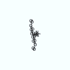 [C-]#[N+]/C(C#N)=C1/Sc2c(OC(=O)c3ccc(OC(=O)c4ccc(OCCCCOC(=O)C=C)cc4)cc3)ccc(OC(=O)c3ccc(OC(=O)c4ccc(OCCCCC(=O)OC=C)cc4)cc3)c2S1